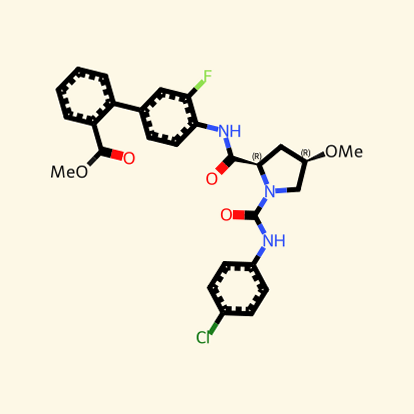 COC(=O)c1ccccc1-c1ccc(NC(=O)[C@H]2C[C@@H](OC)CN2C(=O)Nc2ccc(Cl)cc2)c(F)c1